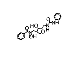 C[C@@]1(CN(O)C(=O)c2ccccc2)CO[C@H](CNC(=O)Nc2ccccc2)[C@H]1O